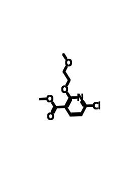 COCCOc1nc(Cl)ccc1C(=O)OC